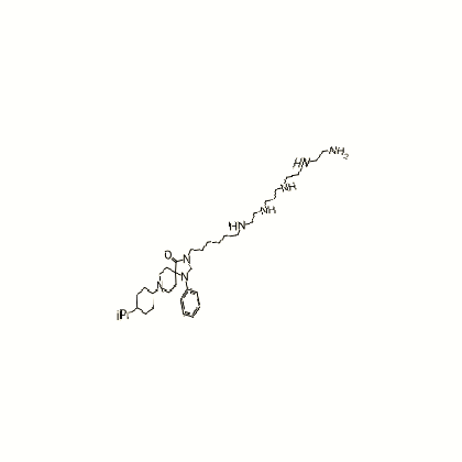 CC(C)C1CCC(N2CCC3(CC2)C(=O)N(CCCCCCNCCNCCCNCCNCCN)CN3c2ccccc2)CC1